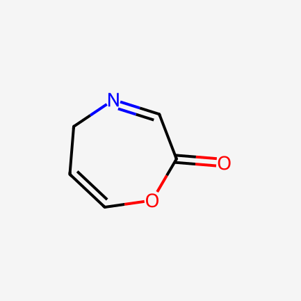 O=C1C=NCC=CO1